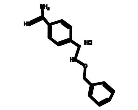 Cl.N=C(N)c1ccc(CNOCc2ccccc2)cc1